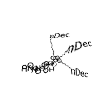 CCCCCCCCCCCCCCCCCCOc1cc(C(=O)OCC(=O)O[C@]2(O)C[C@H](n3ccc(NC(=O)c4ccccc4)nc3=O)O[C@@H]2CO)cc(OCCCCCCCCCCCCCCCCCC)c1OCCCCCCCCCCCCCCCCCC